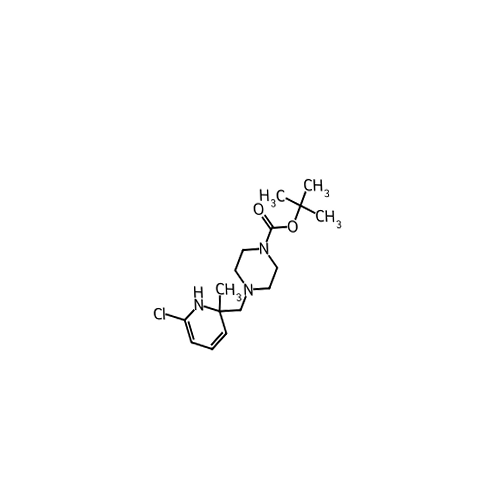 CC1(CN2CCN(C(=O)OC(C)(C)C)CC2)C=CC=C(Cl)N1